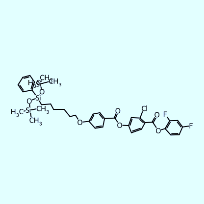 C[Si](C)(C)O[Si](CCCCCCOc1ccc(C(=O)Oc2ccc(C(=O)Oc3ccc(F)cc3F)c(Cl)c2)cc1)(O[Si](C)(C)C)c1ccccc1